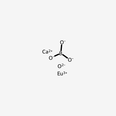 [Ca+2].[Eu+3].[O-2].[O-]B([O-])[O-]